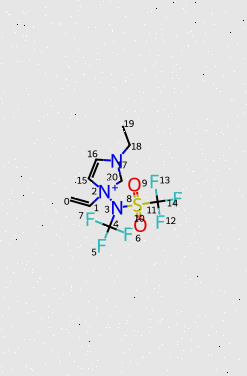 C=C[N+]1(N(C(F)(F)F)S(=O)(=O)C(F)(F)F)C=CN(CC)C1